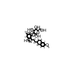 COc1ccc2c(c1)CCC(CCc1n[nH]c3cc(C)cc(O[C@]4(O)[C@@H](O)O[C@H](CO)[C@@H](O)[C@@H]4O)c13)C2